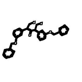 O=C(C(CCl)c1cccc(OCc2ccccc2)c1)C(CCl)c1cccc(OCc2ccccc2)c1